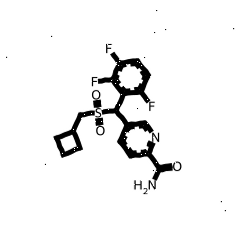 NC(=O)c1ccc(C(c2c(F)ccc(F)c2F)S(=O)(=O)CC2CCC2)cn1